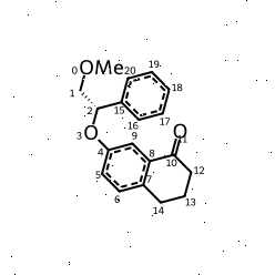 COC[C@@H](Oc1ccc2c(c1)C(=O)CCC2)c1ccccc1